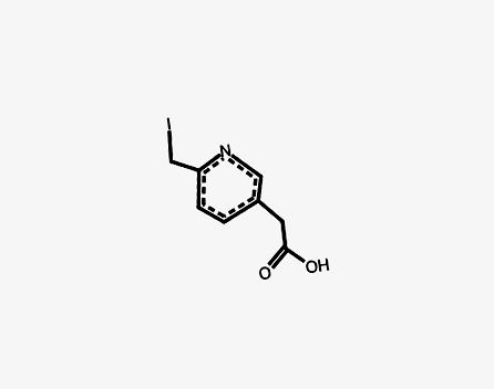 O=C(O)Cc1ccc(CI)nc1